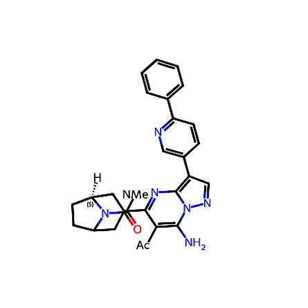 CNC(=O)N1C2CC[C@H]1CC(c1nc3c(-c4ccc(-c5ccccc5)nc4)cnn3c(N)c1C(C)=O)C2